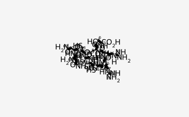 C[C@@H](O)[C@H](NC(=O)[C@H](CC(=O)O)NC(=O)[C@H](CCCNC(=N)N)NC(=O)[C@H](CCCNC(=N)N)NC(=O)[C@H](CS)NC(=O)[C@H](CS)NC(=O)[C@H](CS)NC(=O)[C@H](CS)NC(=O)[C@H](CC(N)=O)NC(=O)[C@@H](N)CC(N)=O)C(=O)O